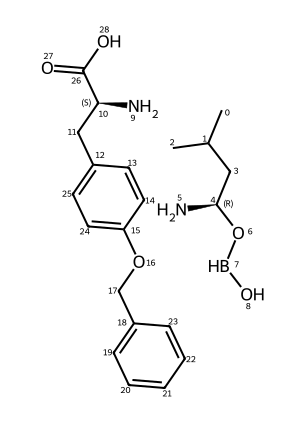 CC(C)C[C@H](N)OBO.N[C@@H](Cc1ccc(OCc2ccccc2)cc1)C(=O)O